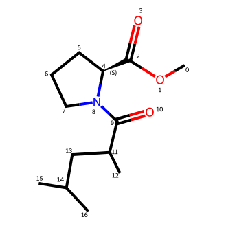 COC(=O)[C@@H]1CCCN1C(=O)C(C)CC(C)C